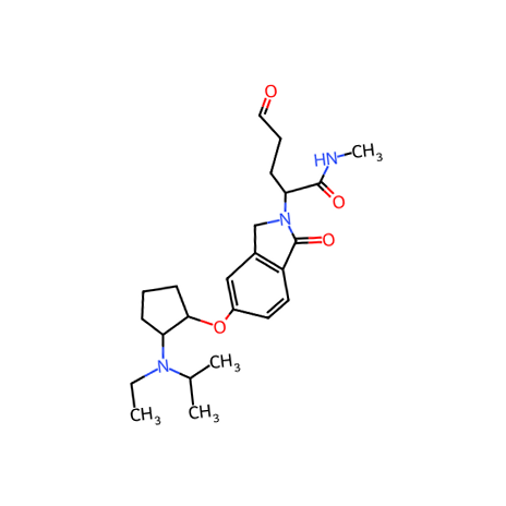 CCN(C(C)C)C1CCCC1Oc1ccc2c(c1)CN(C(CCC=O)C(=O)NC)C2=O